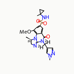 [2H]C([2H])(c1cnn(C)c1)N1C(=O)c2cc(S(=O)(=O)NC3(C)CC3)cc(OC)c2N2C1=NC[C@H]2C